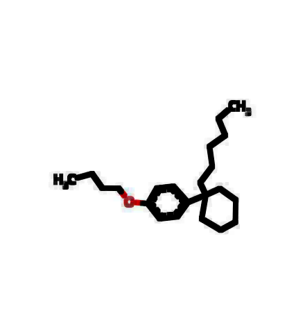 CCCCCCC1(c2ccc(OCCCC)cc2)CCCCC1